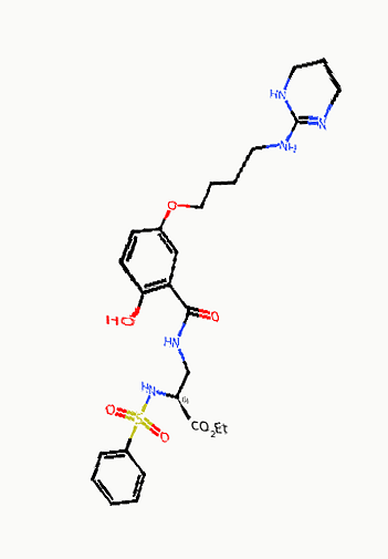 CCOC(=O)[C@H](CNC(=O)c1cc(OCCCCNC2=NCCCN2)ccc1O)NS(=O)(=O)c1ccccc1